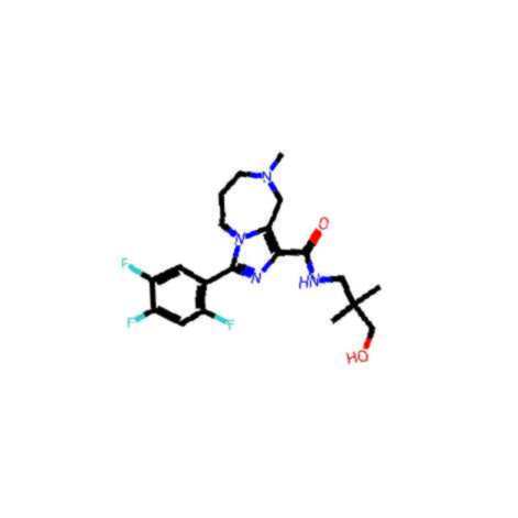 CN1CCCn2c(-c3cc(F)c(F)cc3F)nc(C(=O)NCC(C)(C)CO)c2C1